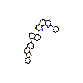 c1ccc(-c2ccc3ccc4ccc(-c5cccc6c(-c7ccc8c(ccc9c%10ccccc%10sc89)c7)cccc56)nc4c3n2)cc1